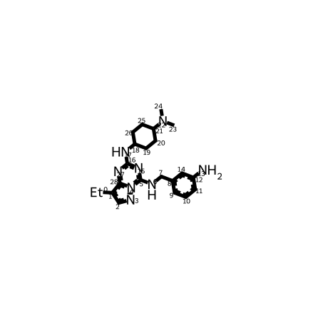 CCc1cnn2c(NCc3cccc(N)c3)nc(NC3CCC(N(C)C)CC3)nc12